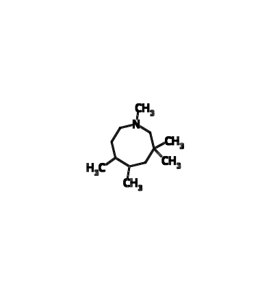 CC1CCN(C)CC(C)(C)CC1C